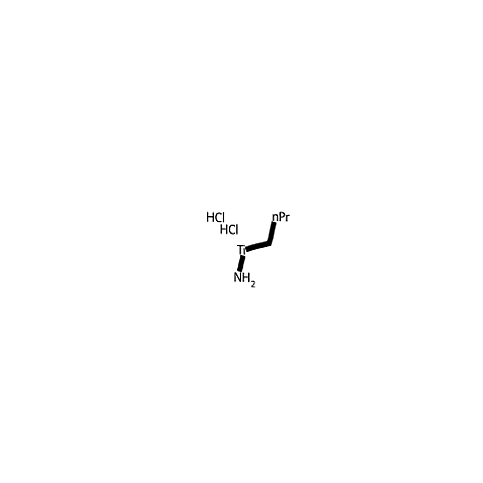 CCC[CH2][Ti][NH2].Cl.Cl